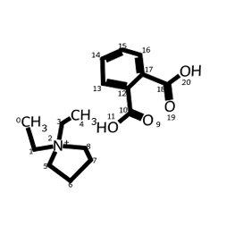 CC[N+]1(CC)CCCC1.O=C(O)c1ccccc1C(=O)O